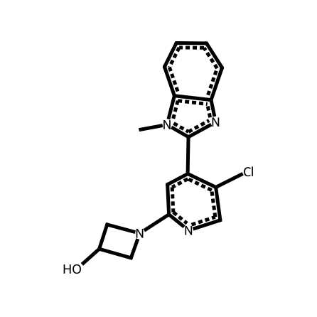 Cn1c(-c2cc(N3CC(O)C3)ncc2Cl)nc2ccccc21